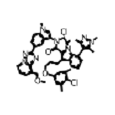 COCc1cccn2nc(-c3ccc4c(c3)c(N3C(=O)c5c(CCCOc6cc(C)c(Cl)c(C)c6)c6cccc(-c7c(C)nn(C)c7C)c6n5C(C)[C@H]3Cl)cn4C)nc12